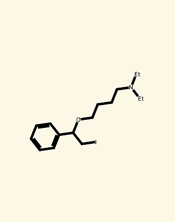 CCN(CC)CCCCOC(CI)c1ccccc1